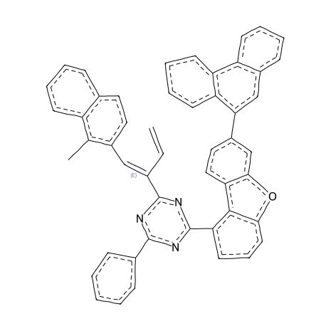 C=C/C(=C\c1ccc2ccccc2c1C)c1nc(-c2ccccc2)nc(-c2cccc3oc4cc(-c5cc6ccccc6c6ccccc56)ccc4c23)n1